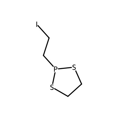 ICCP1SCCS1